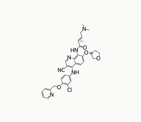 CN(C)C/C=C/C(=O)Nc1c(O[C@@H]2CCOC2)ccc2c(Nc3ccc(OCc4ccccn4)c(Cl)c3)c(C#N)cnc12